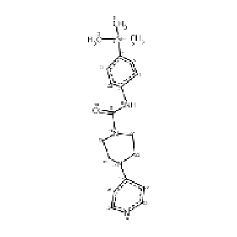 C[Si](C)(C)c1ccc(NC(=O)N2CCN(c3ccncc3)CC2)cc1